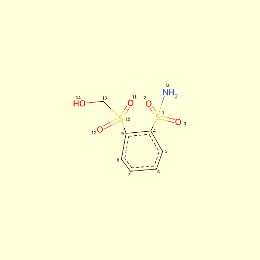 NS(=O)(=O)c1ccccc1S(=O)(=O)CO